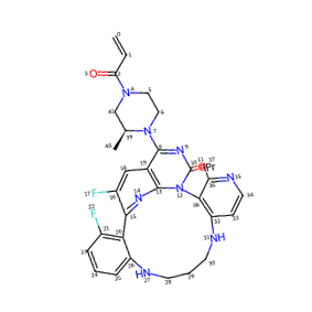 C=CC(=O)N1CCN(c2nc(=O)n3c4nc(c(F)cc24)-c2c(F)cccc2NCCCNc2ccnc(C(C)C)c2-3)[C@@H](C)C1